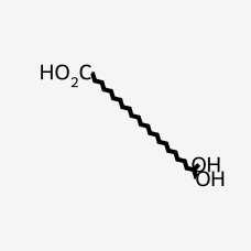 O=C(O)CCCCCCCCCCCCCCCCCCCCCCC(O)CO